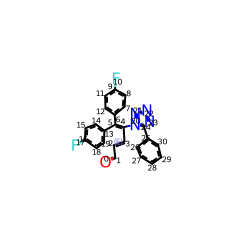 O=C/C=C/C(=C(c1ccc(F)cc1)c1ccc(F)cc1)n1nnnc1-c1ccccc1